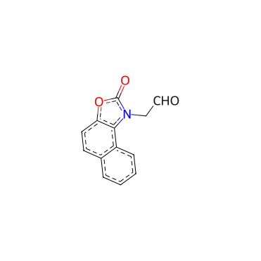 O=CCn1c(=O)oc2ccc3ccccc3c21